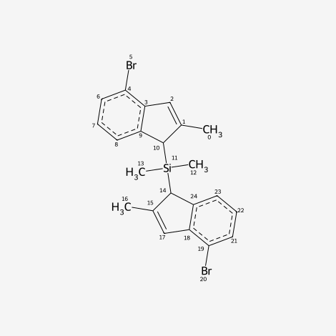 CC1=Cc2c(Br)cccc2C1[Si](C)(C)C1C(C)=Cc2c(Br)cccc21